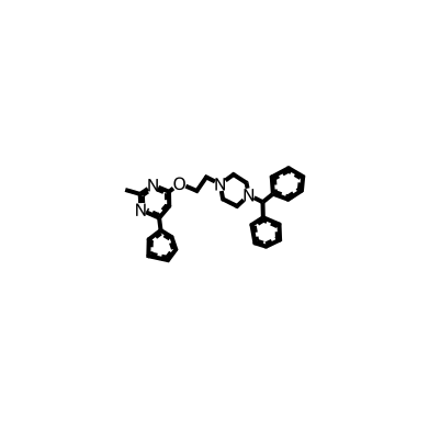 Cc1nc(OCCN2CCN(C(c3ccccc3)c3ccccc3)CC2)cc(-c2ccccc2)n1